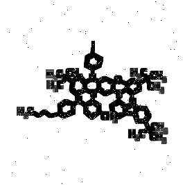 CCCCc1ccc(N2c3ccc(C)cc3B3c4cc5c(cc4N(c4ccc(I)cc4)c4cc(C(C)(C)C)cc2c43)Oc2cc(C(C)(C)C)cc3c2B5c2cccc4c5cc(C(C)(C)C)ccc5n-3c24)cc1